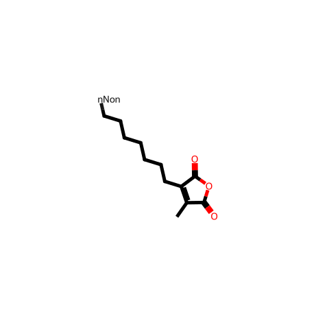 CCCCCCCCCCCCCCCCC1=C(C)C(=O)OC1=O